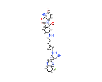 N=C/C(=C\NC1CC(CCCNc2ccc3c(c2)C(=O)N(C2CCC(=O)NC2=O)C3=O)C1)c1cnc2cccc(F)c2n1